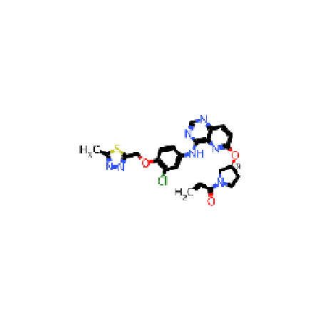 C=CC(=O)N1CC[C@H](Oc2ccc3ncnc(Nc4ccc(OCc5nnc(C)s5)c(Cl)c4)c3n2)C1